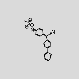 CS(=O)(=O)ON=C1C=CC(=C(C#N)c2ccc(-c3ccccc3)cc2)C=C1